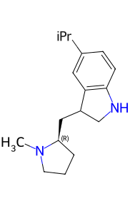 CC(C)c1ccc2c(c1)C(C[C@H]1CCCN1C)CN2